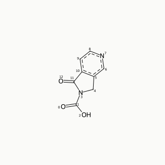 O=C(O)N1Cc2cnccc2C1=O